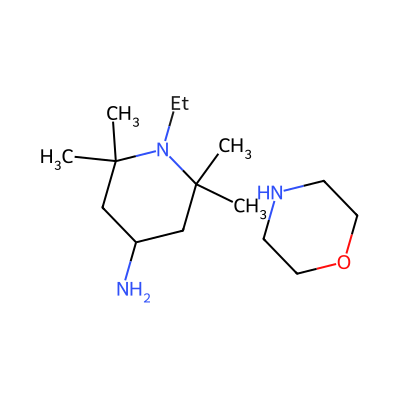 C1COCCN1.CCN1C(C)(C)CC(N)CC1(C)C